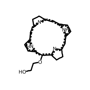 OCCOc1c2nc(cc3ccc(cc4nc(cc5ccc1[nH]5)CC4)[nH]3)CC2